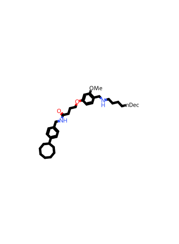 CCCCCCCCCCCCCCNCc1ccc(OCCCC(=O)NCc2ccc(C3CCCCCCC3)cc2)cc1OC